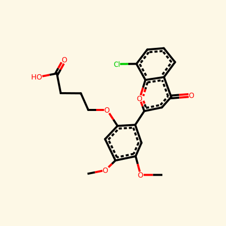 COc1cc(OCCCC(=O)O)c(-c2cc(=O)c3cccc(Cl)c3o2)cc1OC